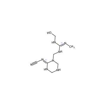 C/N=C(/NCO)NCN1CNCN/C1=N\C#N